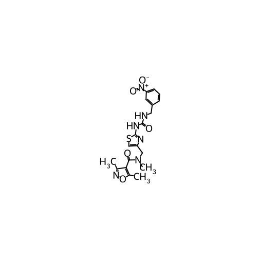 Cc1noc(C)c1C(=O)N(C)Cc1csc(NC(=O)NCc2cccc([N+](=O)[O-])c2)n1